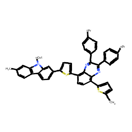 CCCCCCCCn1c2cc(C)ccc2c2ccc(-c3ccc(-c4ccc(-c5ccc(C)s5)c5nc(-c6ccc(CCC)cc6)c(-c6ccc(CCC)cc6)nc45)s3)cc21